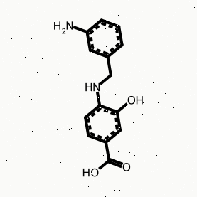 Nc1cccc(CNc2ccc(C(=O)O)cc2O)c1